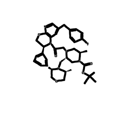 C[C@@H]1CN(CC(=O)N2c3cc(Cc4ccc(F)cc4)cnc3OC[C@@H]2c2ccccc2)[C@@H](CN2[C@H](C)COC[C@H]2C)CN1C(=O)OC(C)(C)C